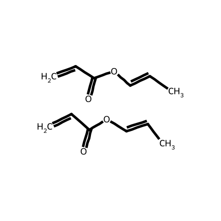 C=CC(=O)OC=CC.C=CC(=O)OC=CC